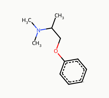 CC(COc1cc[c]cc1)N(C)C